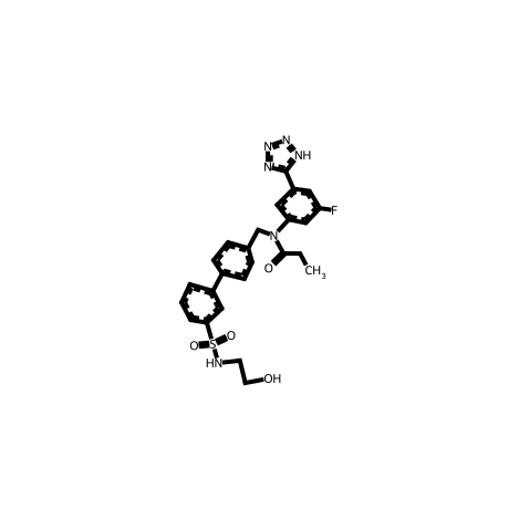 CCC(=O)N(Cc1ccc(-c2cccc(S(=O)(=O)NCCO)c2)cc1)c1cc(F)cc(-c2nnn[nH]2)c1